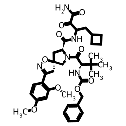 COc1ccc(C2=NO[C@@]3(C2)C[C@@H](C(=O)NC(CC2CCC2)C(=O)C(N)=O)N(C(=O)[C@@H](NC(=O)OCc2ccccc2)C(C)(C)C)C3)c(OC)c1